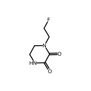 O=C1NCCN(CCF)C1=O